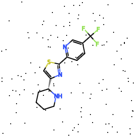 FC(F)(F)c1ccc(-c2nc([C@H]3CCCCN3)cs2)nc1